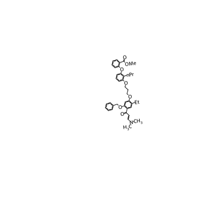 CCCc1c(OCCCOc2cc(OCc3ccccc3)c(C(=O)/C=C/N(C)C)cc2CC)cccc1Oc1ccccc1C(=O)OC